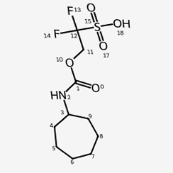 O=C(NC1CCCCCC1)OCC(F)(F)S(=O)(=O)O